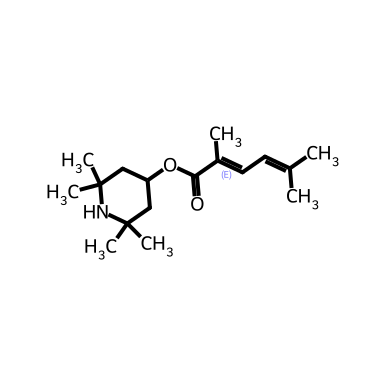 CC(C)=C/C=C(\C)C(=O)OC1CC(C)(C)NC(C)(C)C1